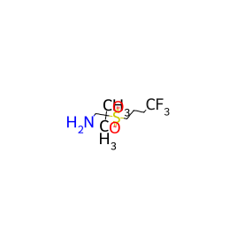 CC(C)(CN)S(=O)(=O)CCCC(F)(F)F